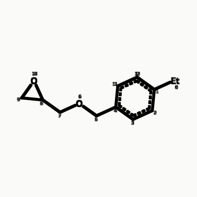 CCc1ccc(COCC2CO2)cc1